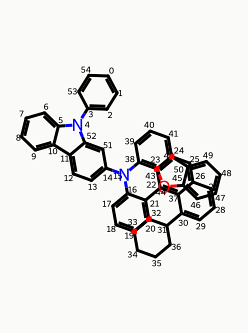 c1ccc(-n2c3ccccc3c3ccc(N(c4ccccc4-c4cccc5cccc(C6CCCCC6)c45)c4cccc5c4oc4ccccc45)cc32)cc1